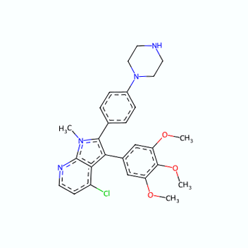 COc1cc(-c2c(-c3ccc(N4CCNCC4)cc3)n(C)c3nccc(Cl)c23)cc(OC)c1OC